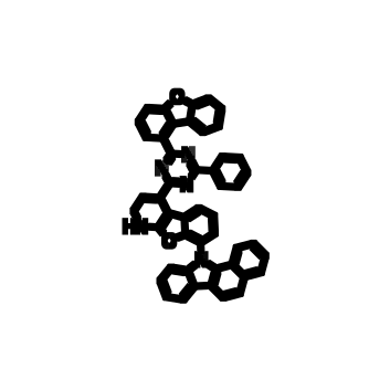 C1=C(c2nc(-c3ccccc3)nc(-c3cccc4oc5ccccc5c34)n2)c2c(oc3c(-n4c5ccccc5c5ccc6ccccc6c54)cccc23)NC1